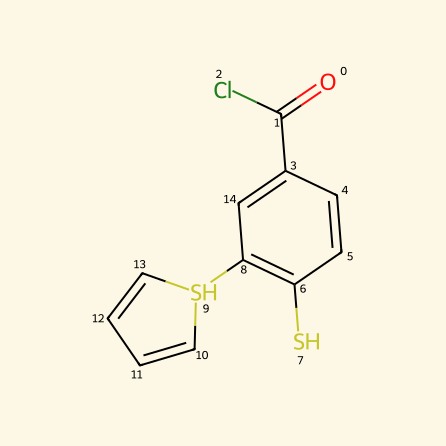 O=C(Cl)c1ccc(S)c([SH]2C=CC=C2)c1